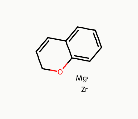 C1=Cc2ccccc2OC1.[Mg].[Zr]